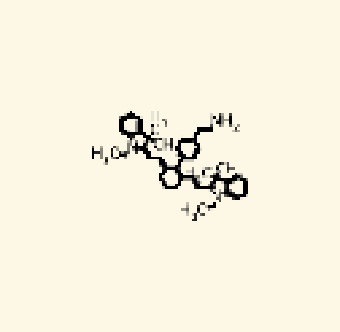 CCN1/C(=C/C=C2\CCCC(/C=C/C3=[N+](CC)c4ccccc4C3(C)C)=C2c2ccc(CCN)cc2)C(C)(C)c2ccccc21